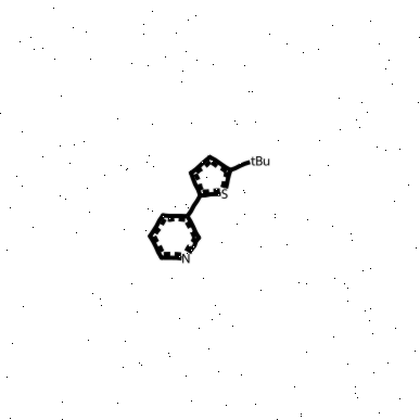 CC(C)(C)c1ccc(-c2cccnc2)s1